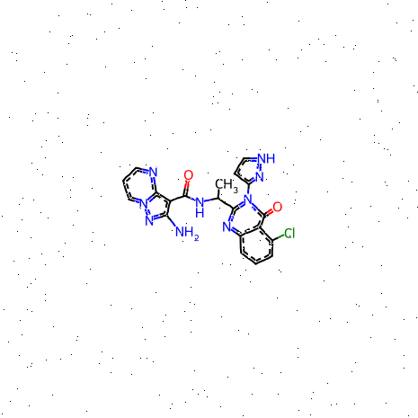 CC(NC(=O)c1c(N)nn2cccnc12)c1nc2cccc(Cl)c2c(=O)n1-c1cc[nH]n1